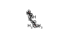 CC(C)(O)COC(=O)N1CCc2cnc(C(=O)Nc3cccc(-c4nnc5n4CCCC5)n3)cc2C1